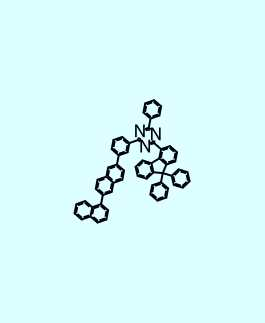 c1ccc(-c2nc(-c3cccc(-c4ccc5cc(-c6cccc7ccccc67)ccc5c4)c3)nc(-c3cccc4c3-c3ccccc3C4(c3ccccc3)c3ccccc3)n2)cc1